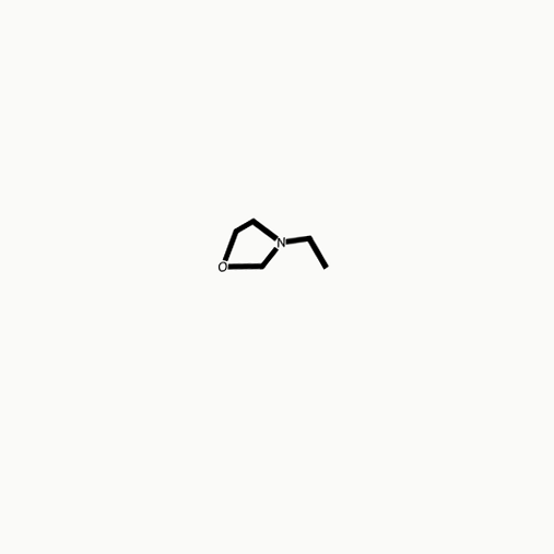 CCN1CCOC1